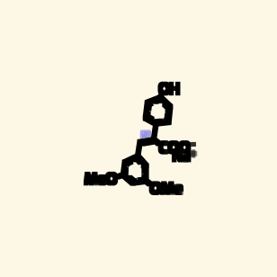 COc1cc(/C=C(\C(=O)[O-])c2ccc(O)cc2)cc(OC)c1.[Na+]